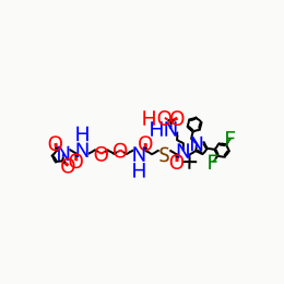 CC(C)(C)C(c1cc(-c2cc(F)ccc2F)cn1Cc1ccccc1)N(CCCNC(=O)O)C(=O)CSCCC(=O)NCCOCCOCCNC(=O)CN1C(=O)C=CC1=O